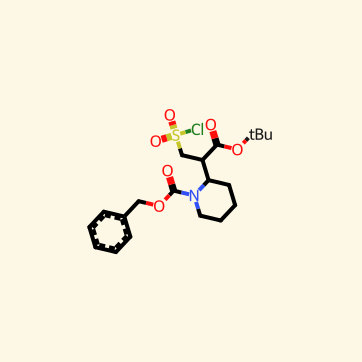 CC(C)(C)OC(=O)C(CS(=O)(=O)Cl)C1CCCCN1C(=O)OCc1ccccc1